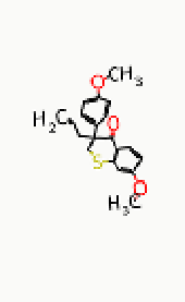 C=CCC1(c2ccc(OC)cc2)CSc2cc(OC)ccc2C1=O